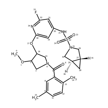 COC1CN(C(=O)c2cc(C)ccc2C)CC1Oc1cc(NS(=O)(=O)N2C[C@@H]3C[C@H]3C2)cc(F)n1